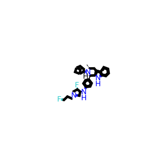 C[C@@H]1Cc2c([nH]c3ccccc23)[C@@H](c2ccc(N[C@H]3CN(CCCF)C[C@H]3F)cc2)N1[C@@H]1CCC2CC1C2